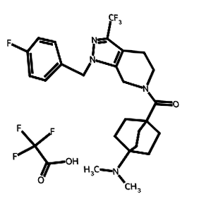 CN(C)C12CCC(C(=O)N3CCc4c(C(F)(F)F)nn(Cc5ccc(F)cc5)c4C3)(CC1)CC2.O=C(O)C(F)(F)F